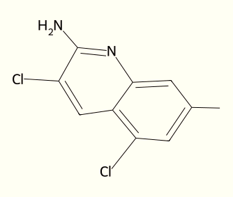 Cc1cc(Cl)c2cc(Cl)c(N)nc2c1